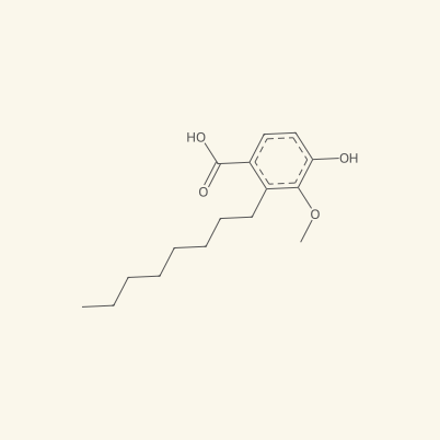 CCCCCCCCc1c(C(=O)O)ccc(O)c1OC